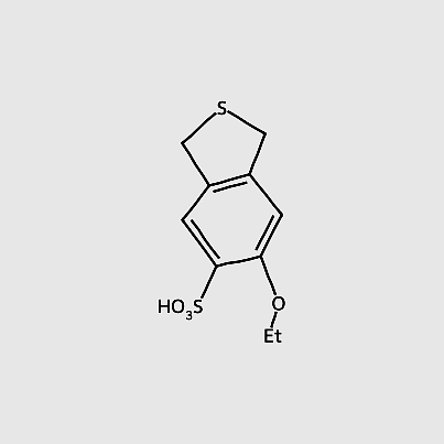 CCOc1cc2c(cc1S(=O)(=O)O)CSC2